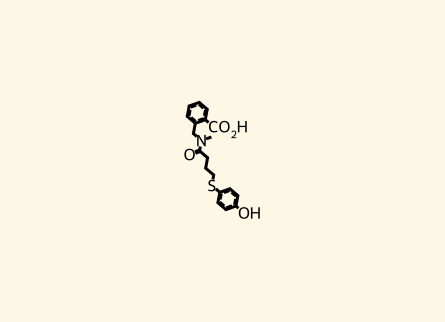 CN(Cc1ccccc1C(=O)O)C(=O)CCCSc1ccc(O)cc1